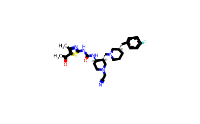 CC(=O)c1sc(NC(=O)N[C@@H]2CCN(CC#N)C[C@H]2CN2CCC[C@@H](Cc3ccc(F)cc3)C2)nc1C